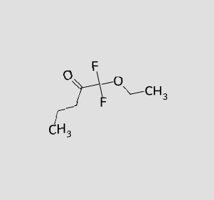 CCCC(=O)C(F)(F)OCC